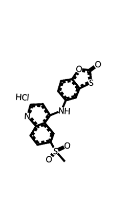 CS(=O)(=O)c1ccc2nccc(Nc3ccc4oc(=O)sc4c3)c2c1.Cl